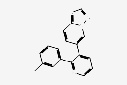 Cc1cccc(-c2ncccc2-c2ccc3ncnn3c2)c1